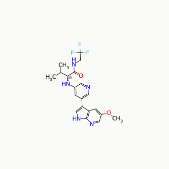 COc1cnc2[nH]cc(-c3cncc(N[C@H](C(=O)NCC(F)(F)F)C(C)C)c3)c2c1